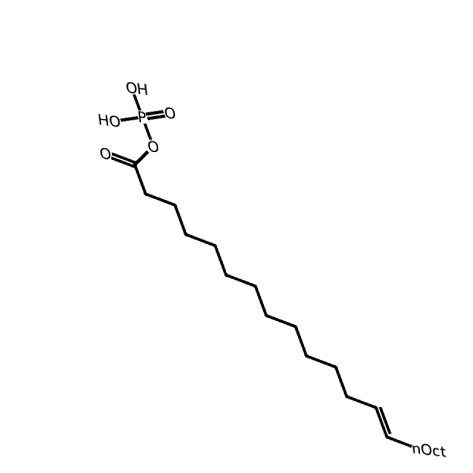 CCCCCCCCC=CCCCCCCCCCCCC(=O)OP(=O)(O)O